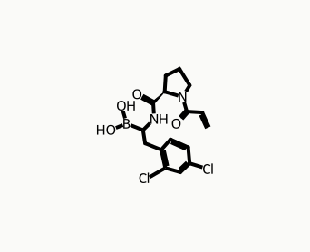 C=CC(=O)N1CCC[C@@H]1C(=O)NC(Cc1ccc(Cl)cc1Cl)B(O)O